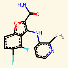 Cc1ncccc1Nc1c(C(N)=O)oc2ccc(F)c(F)c12